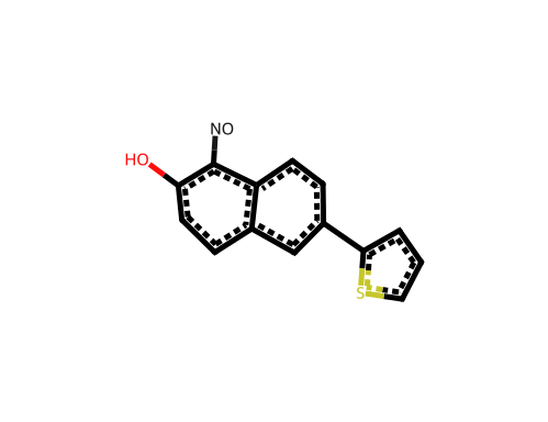 O=Nc1c(O)ccc2cc(-c3cccs3)ccc12